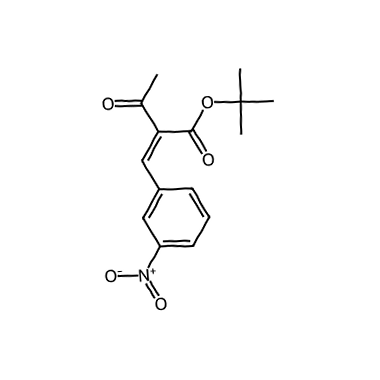 CC(=O)C(=Cc1cccc([N+](=O)[O-])c1)C(=O)OC(C)(C)C